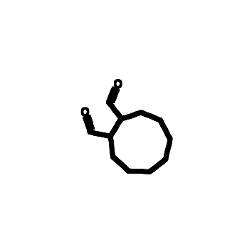 O=CC1CCCCCCCC1C=O